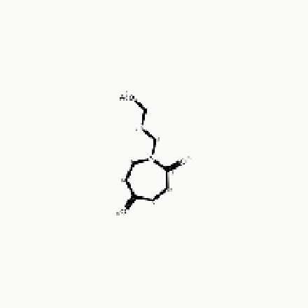 CC(=O)OCSCN1CCC(=O)CCC1=O